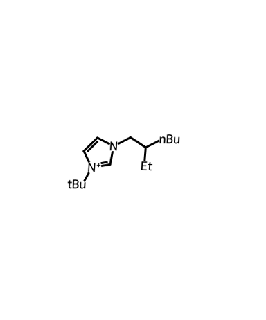 CCCCC(CC)Cn1cc[n+](C(C)(C)C)c1